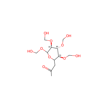 CC(=O)CC1OC(OCO)[C@@H](OCO)[C@H](OCO)[C@H]1OCO